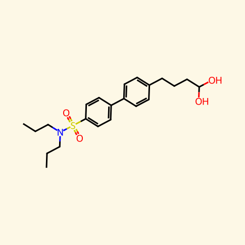 CCCN(CCC)S(=O)(=O)c1ccc(-c2ccc(CCCC(O)O)cc2)cc1